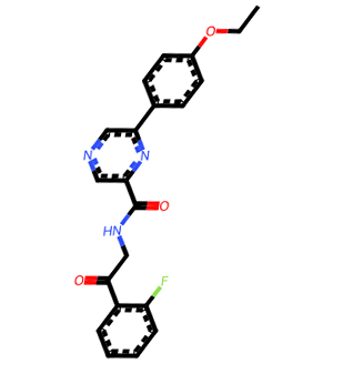 CCOc1ccc(-c2cncc(C(=O)NCC(=O)c3ccccc3F)n2)cc1